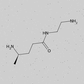 C[C@@H](N)CCC(=O)NCCN